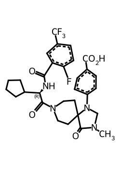 CN1CN(c2ccc(C(=O)O)cc2)C2(CCN(C(=O)[C@H](NC(=O)c3cc(C(F)(F)F)ccc3F)C3CCCC3)CC2)C1=O